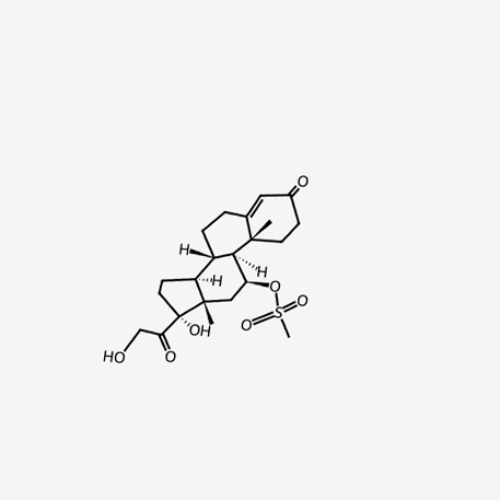 C[C@]12CCC(=O)C=C1CC[C@@H]1[C@@H]2[C@@H](OS(C)(=O)=O)C[C@@]2(C)[C@H]1CC[C@]2(O)C(=O)CO